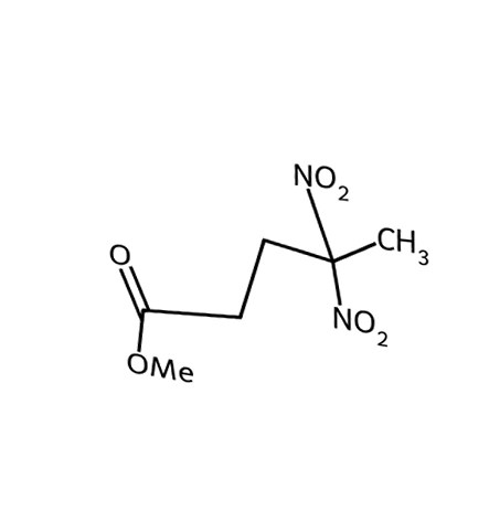 COC(=O)CCC(C)([N+](=O)[O-])[N+](=O)[O-]